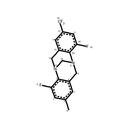 Cc1cc(F)c2c(c1)CN1CN2Cc2cc(C(F)(F)F)cc(F)c21